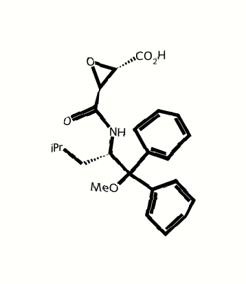 COC(c1ccccc1)(c1ccccc1)[C@H](CC(C)C)NC(=O)[C@H]1O[C@@H]1C(=O)O